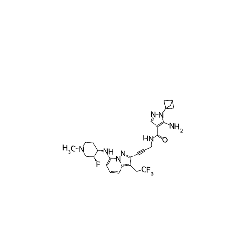 CN1CC[C@@H](Nc2cccc3c(CC(F)(F)F)c(C#CCNC(=O)c4cnn(C56CC(C5)C6)c4N)nn23)[C@@H](F)C1